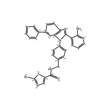 Nc1ncccc1-c1nc2ccc(-c3ccccc3)nc2n1-c1ccc(CNC(=O)c2cnc(Br)s2)cc1